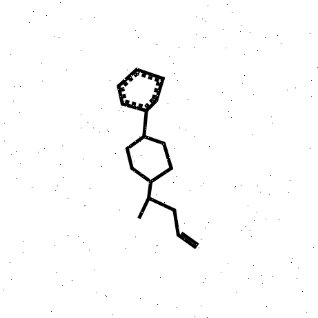 [CH]=CCC(C)C1CCC(c2ccccc2)CC1